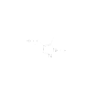 Cc1c(C(=O)O)cnn1C(F)(F)F